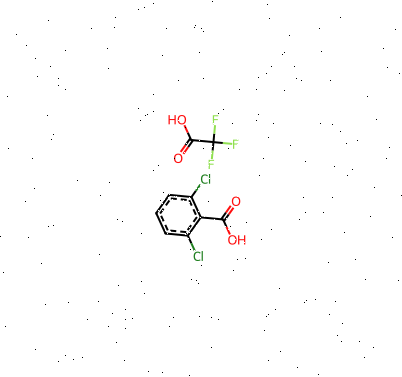 O=C(O)C(F)(F)F.O=C(O)c1c(Cl)cccc1Cl